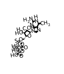 C=C1NC(N)=Nc2c1ncn2[C@@H]1O[C@H](CO[P@](O)(=S)OP(=O)(O)OP(=O)(O)O)[C@@H](O)[C@@]1(C)O